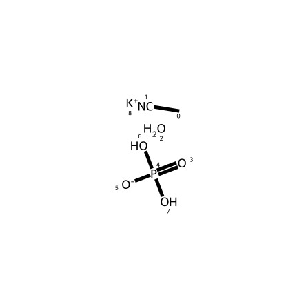 CC#N.O.O=P([O-])(O)O.[K+]